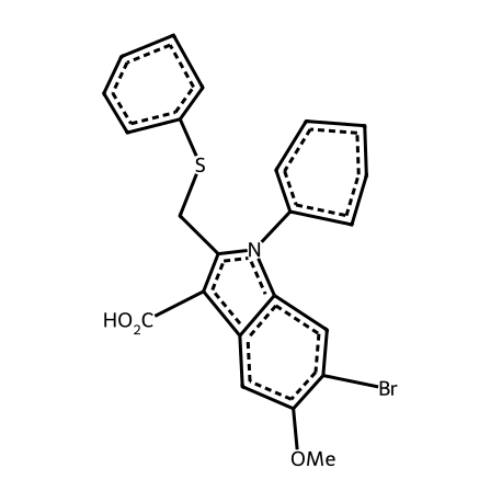 COc1cc2c(C(=O)O)c(CSc3ccccc3)n(-c3ccccc3)c2cc1Br